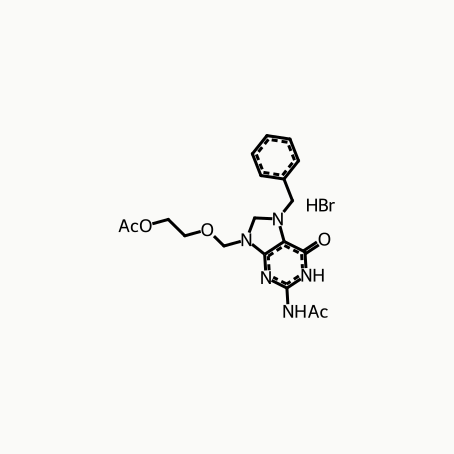 Br.CC(=O)Nc1nc2c(c(=O)[nH]1)N(Cc1ccccc1)CN2COCCOC(C)=O